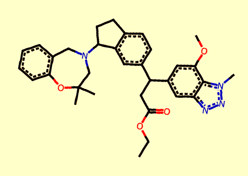 CCOC(=O)CC(c1ccc2c(c1)C(N1Cc3ccccc3OC(C)(C)C1)CC2)c1cc(OC)c2c(c1)nnn2C